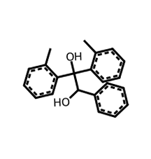 Cc1ccccc1C(O)(c1ccccc1C)C(O)c1ccccc1